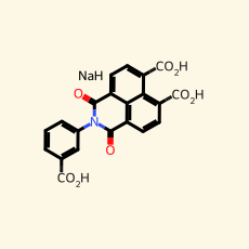 O=C(O)c1cccc(N2C(=O)c3ccc(C(=O)O)c4c(C(=O)O)ccc(c34)C2=O)c1.[NaH]